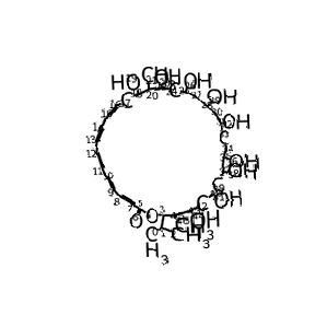 CC(C)C1OC(=O)C=CC=CC=CC=CC=CCC(O)C(C)C(O)CC(O)CC(O)CC(O)CCC(O)C(O)CC(O)CC(O)C1C